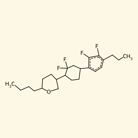 CCCCC1CCC(C2CCC(c3ccc(CCC)c(F)c3F)CC2(F)F)CO1